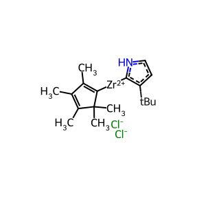 CC1=C(C)C(C)(C)[C]([Zr+2][c]2[nH]ccc2C(C)(C)C)=C1C.[Cl-].[Cl-]